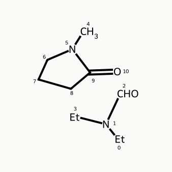 CCN(C=O)CC.CN1CCCC1=O